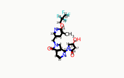 Cc1cc(CN2Cc3c(ccnc3N3C[C@@H](O)CC3=O)C2=O)cnc1OCC(F)(F)C(F)F